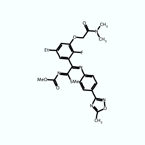 CCc1cc(OCC(=O)N(C)C)c(F)c(C(=Nc2ccc(-c3noc(C)n3)cc2)C(=NC(=O)OC)SC)c1